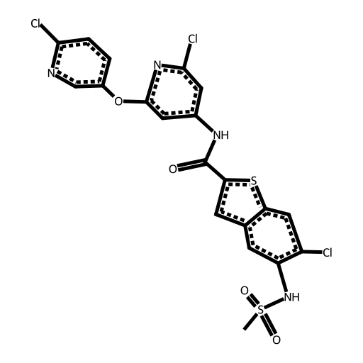 CS(=O)(=O)Nc1cc2cc(C(=O)Nc3cc(Cl)nc(Oc4ccc(Cl)nc4)c3)sc2cc1Cl